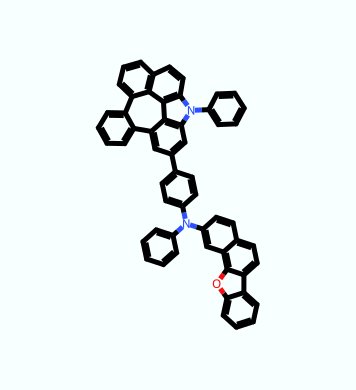 c1ccc(N(c2ccc(-c3cc4c5c6c7c(cccc7ccc6n(-c6ccccc6)c5c3)-c3ccccc3-4)cc2)c2ccc3ccc4c5ccccc5oc4c3c2)cc1